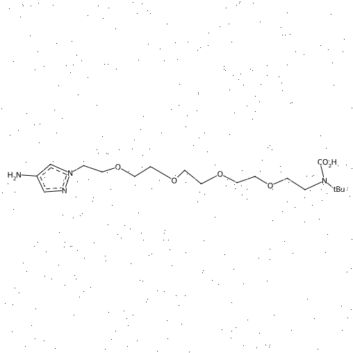 CC(C)(C)N(CCOCCOCCOCCOCCn1cc(N)cn1)C(=O)O